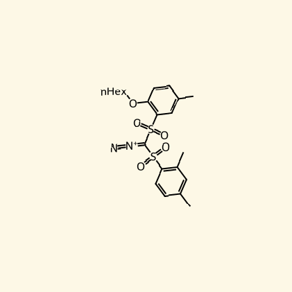 CCCCCCOc1ccc(C)cc1S(=O)(=O)C(=[N+]=[N-])S(=O)(=O)c1ccc(C)cc1C